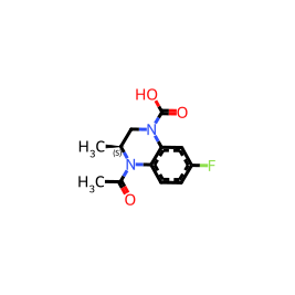 CC(=O)N1c2ccc(F)cc2N(C(=O)O)C[C@@H]1C